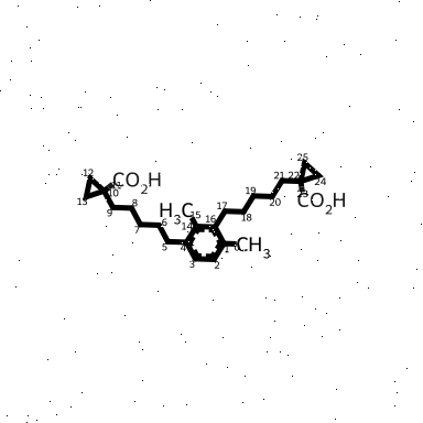 Cc1ccc(CCCCCC2(C(=O)O)CC2)c(C)c1CCCCCC1(C(=O)O)CC1